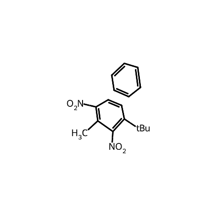 Cc1c([N+](=O)[O-])ccc(C(C)(C)C)c1[N+](=O)[O-].c1ccccc1